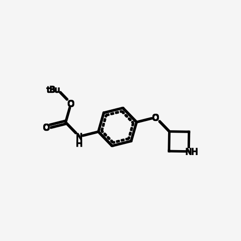 CC(C)(C)OC(=O)Nc1ccc(OC2CNC2)cc1